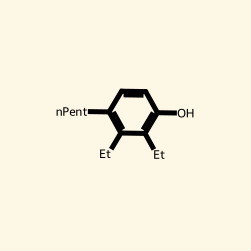 CCCCCc1ccc(O)c(CC)c1CC